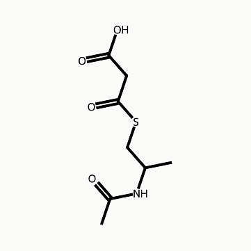 CC(=O)NC(C)CSC(=O)CC(=O)O